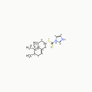 CC1CC=C2C[C@@H](SC(=S)n3ccnc3)CC[C@]2(C)C1C